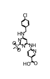 CS(=O)(=O)c1nc(NCc2ccc(Cl)cc2)cc(Nc2ccc(C(=O)O)cn2)n1